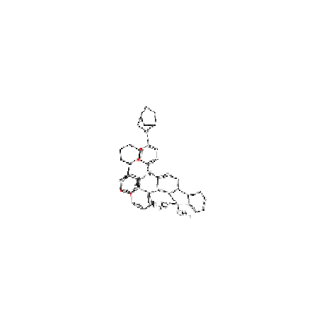 CC1(C)c2ccccc2-c2ccc(N(c3ccc(C4CC5CCC4C5)cc3)c3ccccc3C3CCCCC3)c(-c3cccc4ccccc34)c21